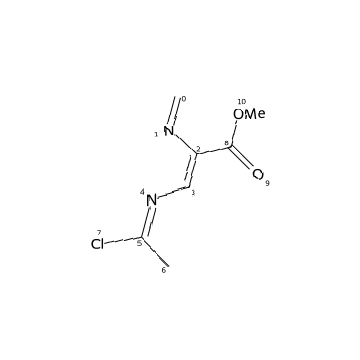 C=N/C(=C\N=C(/C)Cl)C(=O)OC